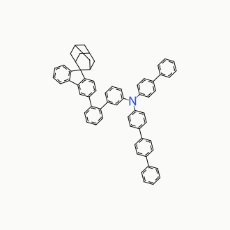 c1ccc(-c2ccc(-c3ccc(N(c4ccc(-c5ccccc5)cc4)c4cccc(-c5ccccc5-c5ccc6c(c5)-c5ccccc5C65C6CC7CC(C6)CC5C7)c4)cc3)cc2)cc1